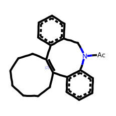 CC(=O)N1Cc2ccccc2/C2=C(/CCCCCCC2)c2ccccc21